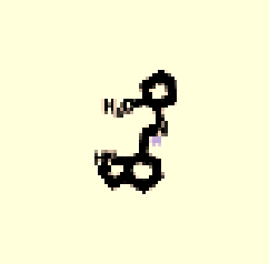 Cc1ccccc1/N=C/c1cccc2cc[nH]c12